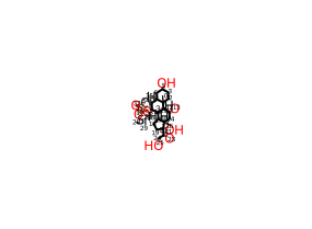 C[C@]12CC[C@@H](O)C[C@H]1CC[C@@H]1[C@@H]2C(=O)C[C@@]2(C)[C@H]1CC[C@]2(O)C(=O)CO.C[Si](C)(C)OS(=O)(=O)C(F)(F)F